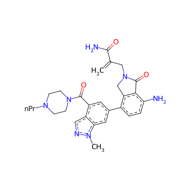 C=C(CN1Cc2c(-c3cc(C(=O)N4CCN(CCC)CC4)c4cnn(C)c4c3)ccc(N)c2C1=O)C(N)=O